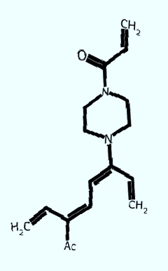 C=CC(=O)N1CCN(/C(C=C)=C/C=C(\C=C)C(C)=O)CC1